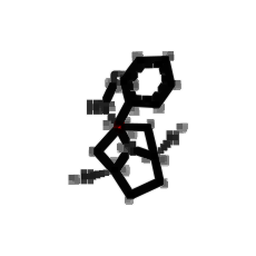 CN[C@@H]1C[C@H]2CC[C@@H](C1)N2Cc1ccccc1